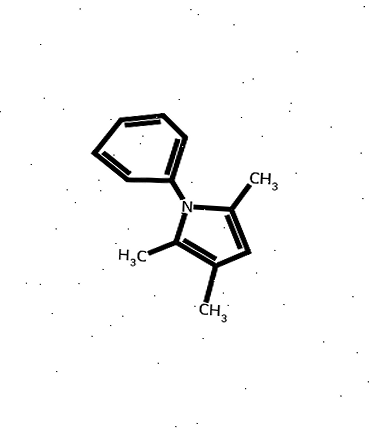 Cc1cc(C)n(-c2ccccc2)c1C